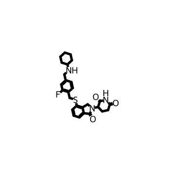 O=C1CCC(N2Cc3c(SCc4ccc(CNC5CCCCC5)cc4F)cccc3C2=O)C(=O)N1